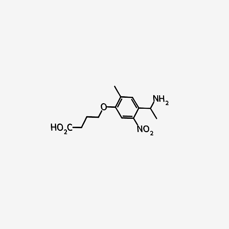 Cc1cc(C(C)N)c([N+](=O)[O-])cc1OCCCC(=O)O